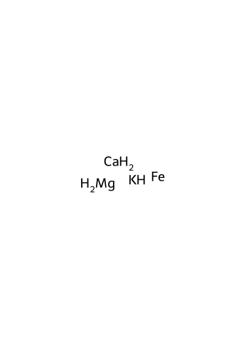 [CaH2].[Fe].[KH].[MgH2]